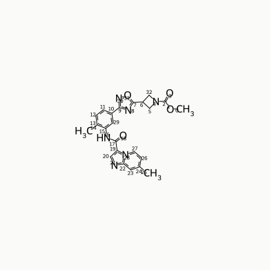 COC(=O)N1CC(c2nc(-c3ccc(C)c(NC(=O)c4cnc5cc(C)ccn45)c3)no2)C1